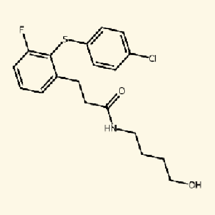 O=C(CCc1cccc(F)c1Sc1ccc(Cl)cc1)NCCCCO